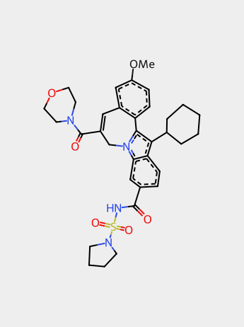 COc1ccc2c(c1)C=C(C(=O)N1CCOCC1)Cn1c-2c(C2CCCCC2)c2ccc(C(=O)NS(=O)(=O)N3CCCC3)cc21